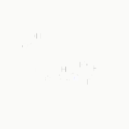 CCCCC(F)(F)C(O)/C=C/[C@H]1C(C)CC2OC(C(I)CCCC(=O)O)C[C@@H]21